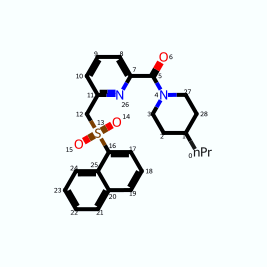 CCCC1CCN(C(=O)c2cccc(CS(=O)(=O)c3cccc4ccccc34)n2)CC1